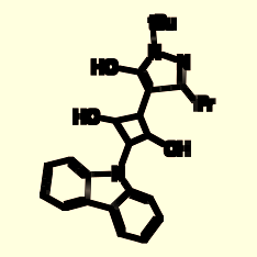 CC(C)c1nn(C(C)(C)C)c(O)c1C1C(O)C(n2c3ccccc3c3ccccc32)C1O